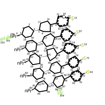 CCC[C@H]1CC[C@H](C2CCC(c3ccc([S])cc3)CC2)CC1.CCC[C@H]1CC[C@H](C2CCC(c3ccc([S])cc3)CC2)CC1.CCC[C@H]1CC[C@H](C2CCC(c3ccc([S])cc3)CC2)CC1.CCC[C@H]1CC[C@H](C2CCC(c3ccc([S])cc3)CC2)CC1.CCC[C@H]1CC[C@H](C2CCC(c3ccc([S])cc3)CC2)CC1.F.F.F.F.F